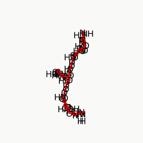 O=C(CCC(NC(=O)c1ccc(N/N=C/c2ccccc2S(=O)(=O)O)nc1)C(=O)NCCCOCCOCCOCCCNS(=O)(=O)c1ccc(-c2ccc(S(=O)(=O)NC(CNC(=O)c3ccc4c(cnn4CCCNc4ncc[nH]4)c3)C(=O)O)cc2)cc1)NCCCOCCOCCOCCCNS(=O)(=O)c1ccc(-c2ccc(S(=O)(=O)NC(CNC(=O)c3ccc4c(cnn4CCCNc4ncc[nH]4)c3)C(=O)O)cc2)cc1